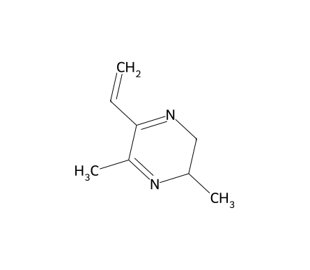 C=CC1=NCC(C)N=C1C